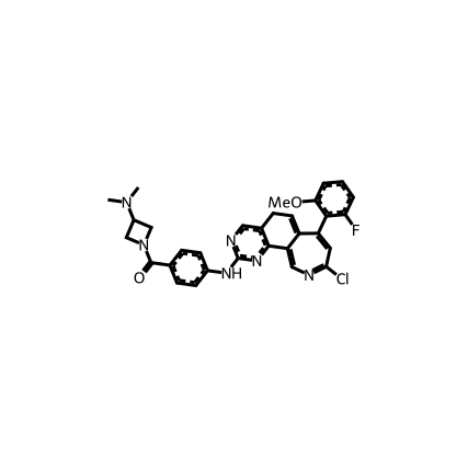 COc1cccc(F)c1C1=CC(Cl)=NC=C2C1=CCc1cnc(Nc3ccc(C(=O)N4CC(N(C)C)C4)cc3)nc12